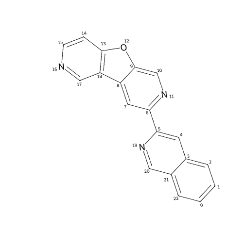 c1ccc2cc(-c3cc4c(cn3)oc3ccncc34)ncc2c1